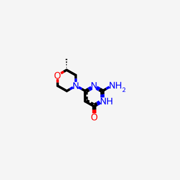 C[C@@H]1CN(c2cc(=O)[nH]c(N)n2)CCO1